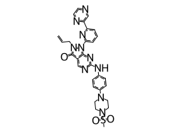 C=CCn1c(=O)c2cnc(Nc3ccc(N4CCN(S(C)(=O)=O)CC4)cc3)nc2n1-c1cccc(-c2cnccn2)n1